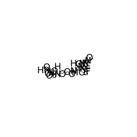 C=CC(=O)N1CCN(c2nc(=O)n(-c3c(C)cc(CNC(=O)CCOCCOCCNc4cccc5c4C(=O)N(C4CCC(=O)NC4=O)C5=O)cc3C)c3nc(-c4c(O)cccc4F)c(F)cc23)[C@@H](C)C1